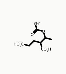 CCCC(=O)OC(C)C(CCC(=O)O)C(=O)O